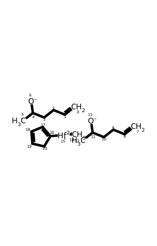 C=CCCC(C)[O-].C=CCCC(C)[O-].[CH3][Hf+2][C]1=CC=CC1